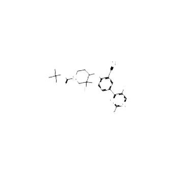 CC(C)(C)OC(=O)N1CCC(Oc2ccc(-c3nc(Cl)ncc3F)cc2C#N)C(F)(F)C1